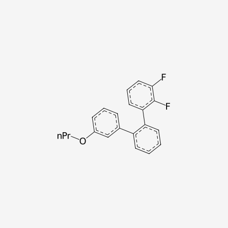 CCCOc1cccc(-c2ccccc2-c2cccc(F)c2F)c1